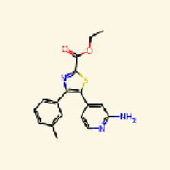 CCOC(=O)c1nc(-c2cccc(C)c2)c(-c2ccnc(N)c2)s1